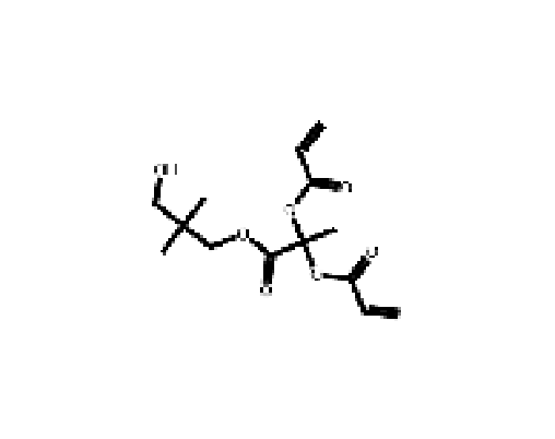 C=CC(=O)OC(C)(OC(=O)C=C)C(=O)OCC(C)(C)CO